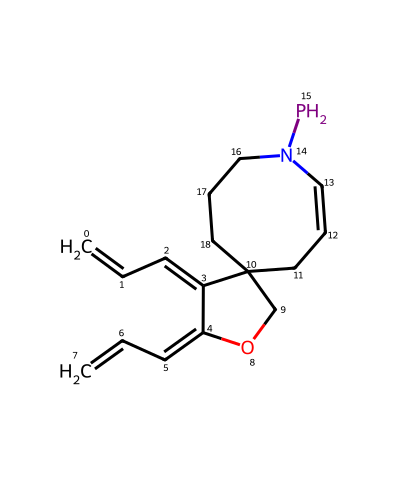 C=C/C=C1\C(=C/C=C)OCC12C/C=C\N(P)CCC2